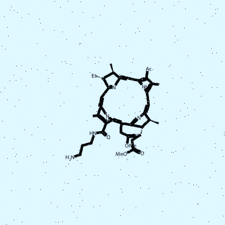 CC[C@H]1c2cc3[nH]c(c(CC(=O)OC)c4nc(cc5[nH]c(cc(n2)[C@@H]1C)c(C(C)=O)c5C)[C@@H](C)[C@@H]4CCC(=O)OC)c(C(=O)NCCCN)c3C